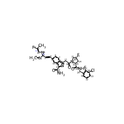 C=N/C(C#Cc1ccc2c(c1)c(C(N)=O)nn2CC(=O)N1C[C@H](F)C[C@H]1C(=O)NCc1cccc(Cl)c1F)=N\C=C(/C)F